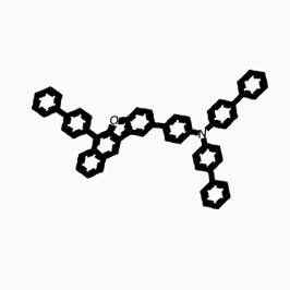 c1ccc(-c2ccc(-c3c4ccccc4cc4c3oc3ccc(-c5ccc(N(c6ccc(-c7ccccc7)cc6)c6ccc(-c7ccccc7)cc6)cc5)cc34)cc2)cc1